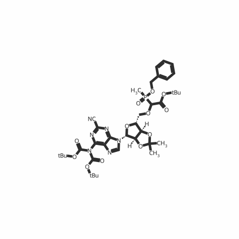 CC(C)(C)OC(=O)C(OC[C@H]1O[C@@H](n2cnc3c(N(C(=O)OC(C)(C)C)C(=O)OC(C)(C)C)nc(C#N)nc32)[C@@H]2OC(C)(C)O[C@@H]21)P(C)(=O)OCc1ccccc1